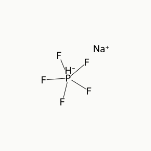 F[PH-](F)(F)(F)F.[Na+]